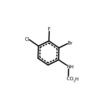 O=C(O)Nc1ccc(Cl)c(F)c1Br